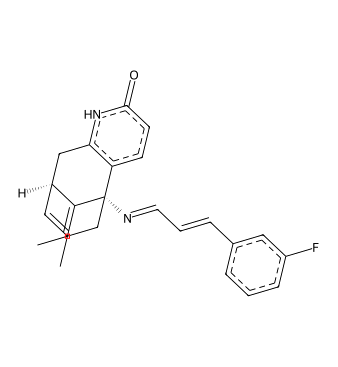 C/C=C1\[C@H]2C=C(C)C[C@]1(N=CC=Cc1cccc(F)c1)c1ccc(=O)[nH]c1C2